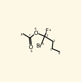 CCCC(F)(Br)OC(C)=O